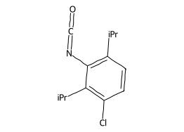 CC(C)c1ccc(Cl)c(C(C)C)c1N=C=O